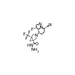 N#Cc1ccc(N2C[C@]3(C(=O)NN)C[C@]3(C(F)(F)F)C2)c2c(F)cnn12